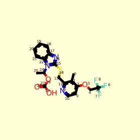 Cc1c(OCC(F)(F)F)ccnc1CSc1nc2ccccc2n1C(C)OC(=O)O